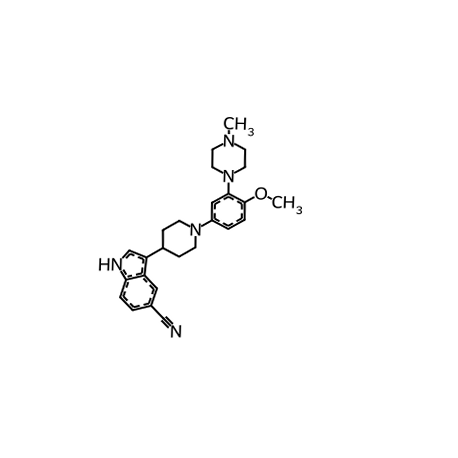 COc1ccc(N2CCC(c3c[nH]c4ccc(C#N)cc34)CC2)cc1N1CCN(C)CC1